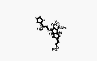 CCOCC=C1C[C@H]2C[C@@H](O)[C@H](C=C[C@@H](O)C3CCCC3)[C@H]2C1.CNC